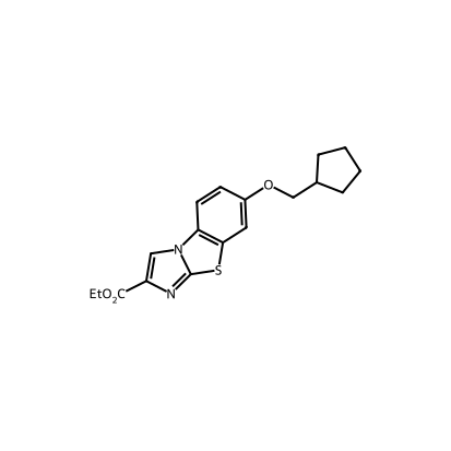 CCOC(=O)c1cn2c(n1)sc1cc(OCC3CCCC3)ccc12